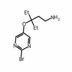 CCC(CC)(CCN)Oc1cnc(Br)nc1